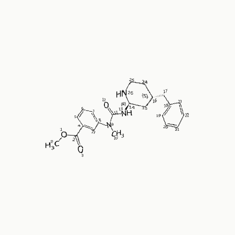 COC(=O)c1cccc(N(C)C(=O)N[C@@H]2C[C@@H](Cc3ccccc3)CCN2)c1